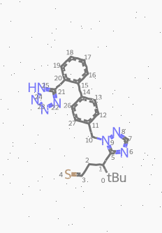 CC(C)(C)C(CC=S)c1ncnn1Cc1ccc(-c2ccccc2-c2nnn[nH]2)cc1